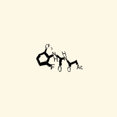 CC(=O)CC(=O)NC(=O)Nc1c(F)cccc1C(F)(F)F